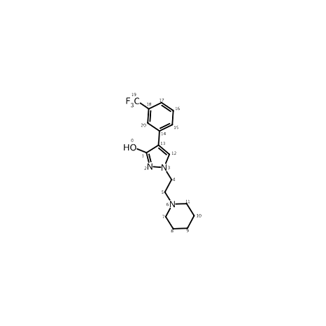 Oc1nn(CCN2CCCCC2)cc1-c1cccc(C(F)(F)F)c1